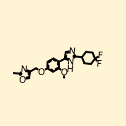 COc1cc(OCc2coc(C)n2)ccc1-c1cnc(C2CCC(F)(F)CC2)[nH]1